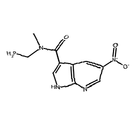 CN(CP)C(=O)c1c[nH]c2ncc([N+](=O)[O-])cc12